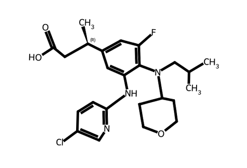 CC(C)CN(c1c(F)cc([C@H](C)CC(=O)O)cc1Nc1ccc(Cl)cn1)C1CCOCC1